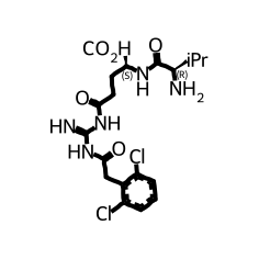 CC(C)[C@@H](N)C(=O)N[C@@H](CCC(=O)NC(=N)NC(=O)Cc1c(Cl)cccc1Cl)C(=O)O